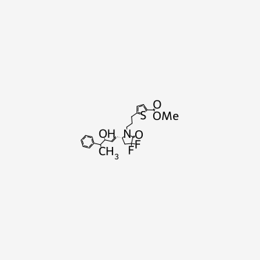 COC(=O)c1ccc(CCCN2C(=O)C(F)(F)C[C@@H]2/C=C/[C@@H](O)[C@@H](C)c2ccccc2)s1